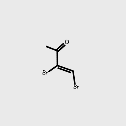 CC(=O)C(Br)=CBr